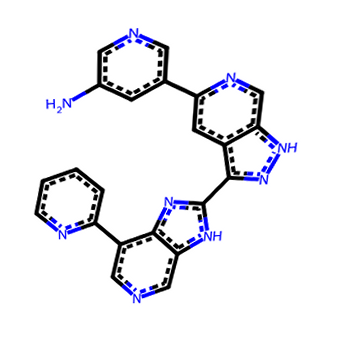 Nc1cncc(-c2cc3c(-c4nc5c(-c6ccccn6)cncc5[nH]4)n[nH]c3cn2)c1